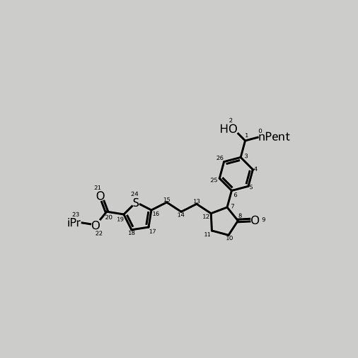 CCCCCC(O)c1ccc(C2C(=O)CCC2CCCc2ccc(C(=O)OC(C)C)s2)cc1